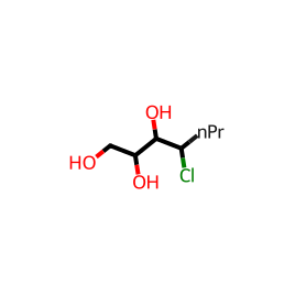 CCCC(Cl)C(O)C(O)CO